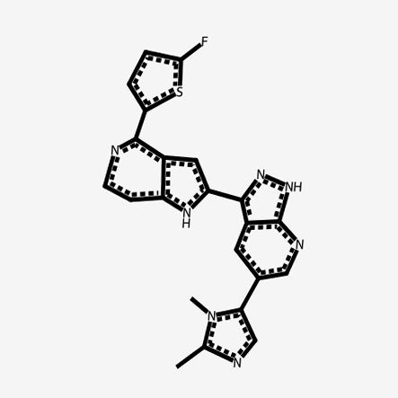 Cc1ncc(-c2cnc3[nH]nc(-c4cc5c(-c6ccc(F)s6)nccc5[nH]4)c3c2)n1C